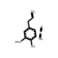 C=CCc1ccc(O)c(OC)c1.N=C=S